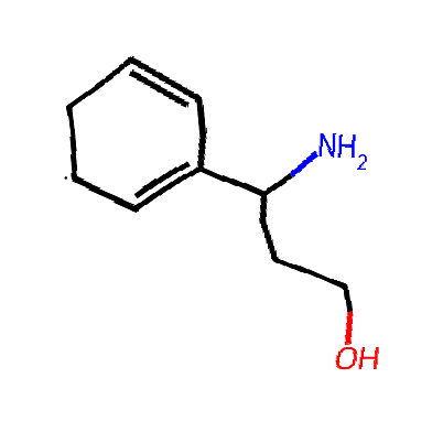 NC(CCO)C1=C[CH]CC=C1